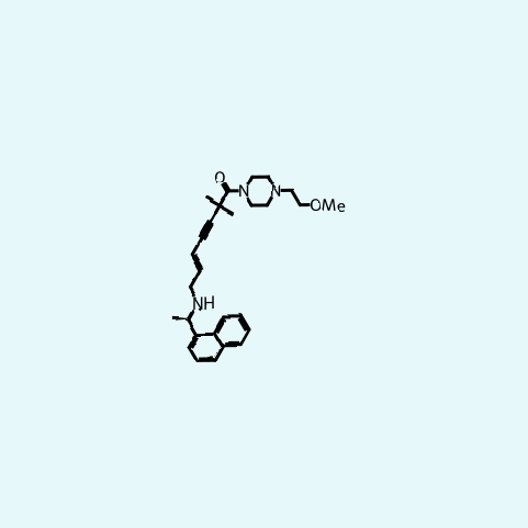 COCCN1CCN(C(=O)C(C)(C)C#C/C=C/CN[C@H](C)c2cccc3ccccc23)CC1